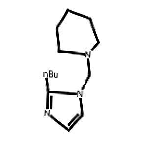 CCCCc1nccn1CN1CCCCC1